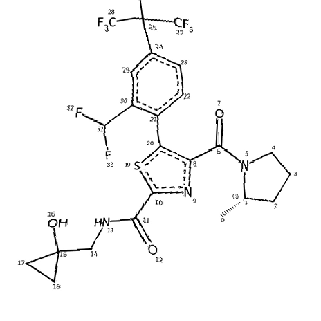 C[C@H]1CCCN1C(=O)c1nc(C(=O)NCC2(O)CC2)sc1-c1ccc(C(C)(C(F)(F)F)C(F)(F)F)cc1C(F)F